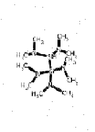 CN(C)[SiH](N(C)C)[Si](N(C)C)(N(C)C)N(C)C